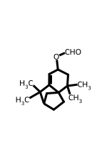 CC1(C)C2=CC(OC=O)CC(C)(C)C23CCC1C3